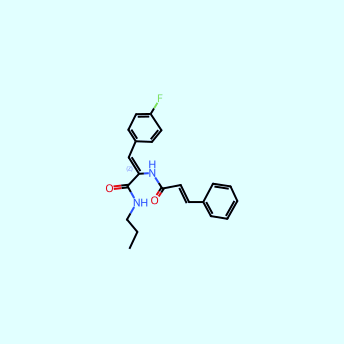 CCCNC(=O)/C(=C/c1ccc(F)cc1)NC(=O)C=Cc1ccccc1